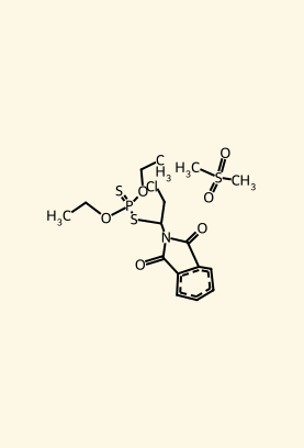 CCOP(=S)(OCC)SC(CCl)N1C(=O)c2ccccc2C1=O.CS(C)(=O)=O